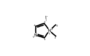 C[N+]1(C)C=CN=C1.[I-]